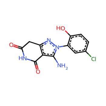 Nc1c2c(nn1-c1cc(Cl)ccc1O)CC(=O)NC2=O